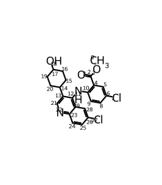 COC(=O)c1cc(Cl)ccc1Nc1c(C2CCC(O)CC2)cnc2ccc(Cl)cc12